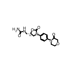 NC(=O)NC[C@H]1CN(c2ccc(N3CCOCC3=O)cc2)C(=O)O1